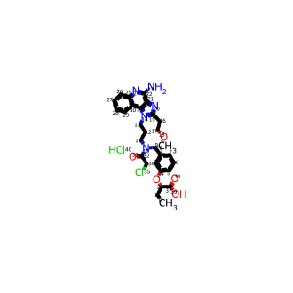 CCC(Oc1cccc(CN(CCCn2c(CCOC)nc3c(N)nc4ccccc4c32)C(=O)CCl)c1)C(=O)O.Cl